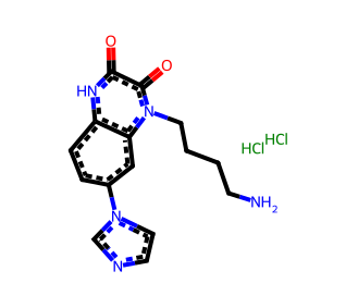 Cl.Cl.NCCCCn1c(=O)c(=O)[nH]c2ccc(-n3ccnc3)cc21